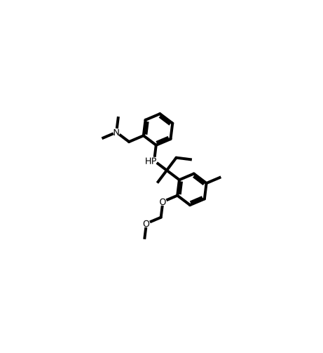 CCC(C)(Pc1ccccc1CN(C)C)c1cc(C)ccc1OCOC